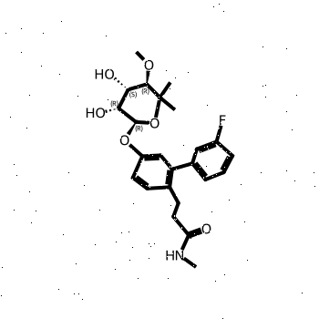 CNC(=O)CCc1ccc(O[C@@H]2OC(C)(C)[C@H](OC)[C@@H](O)[C@H]2O)cc1-c1cccc(F)c1